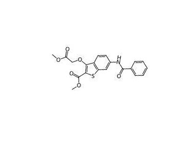 COC(=O)COc1c(C(=O)OC)sc2cc(NC(=O)c3ccccc3)ccc12